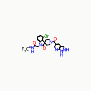 O=C(CN1C(=O)C2(CCN(C(=O)c3cnc4c(c3)CNN4)CC2)c2c(Br)cccc21)NCC(F)(F)F